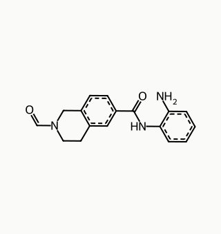 Nc1ccccc1NC(=O)c1ccc2c(c1)CCN(C=O)C2